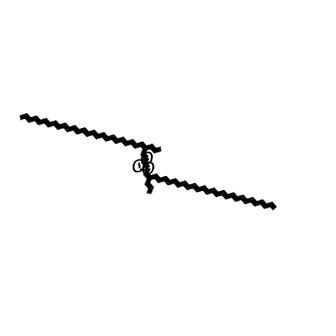 CCCCCCCCCCCCCCCCCCCCCCCCCCC(CCC)COS(=O)OCC(CCC)CCCCCCCCCCCCCCCCCCCCCCCCCC